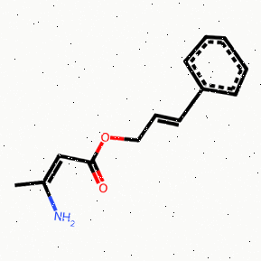 C/C(N)=C/C(=O)OCC=Cc1ccccc1